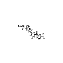 COC(=O)[C@@H](O)Cn1cc(-c2cc(C)cc(Nc3nccc(C(C)F)n3)c2)cn1